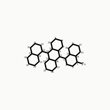 FC1CCC(C2C3CCCCC3C(C3CCCC4CCCCC43)C3CCCCC32)C2CCCCC12